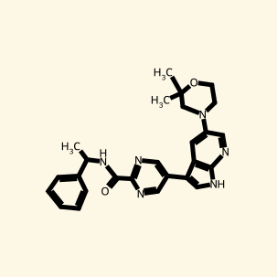 CC(NC(=O)c1ncc(-c2c[nH]c3ncc(N4CCOC(C)(C)C4)cc23)cn1)c1ccccc1